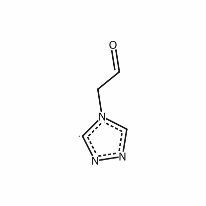 O=CCn1[c]nnc1